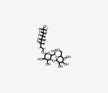 OCC1O[C@H](O[C@@H]2C(CO)O[C@@H](OCCC(F)(F)C(F)(F)C(F)(F)C(F)(F)C(F)(F)C(F)(F)F)C(O)C2O)C(O)C(O)[C@@H]1O